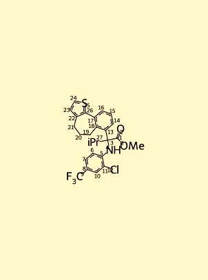 COC(=O)C(Nc1ccc(C(F)(F)F)cc1Cl)(c1cccc2c1CCCc1ccsc1-2)C(C)C